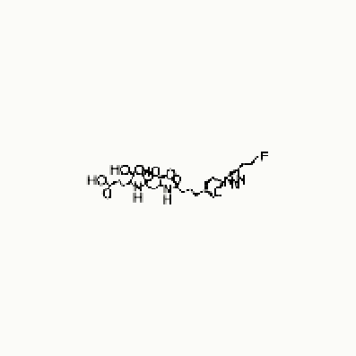 O=C(O)CCC(NC(=O)CC(NC(=O)CCCc1ccc(-n2cc(CCCF)nn2)cc1)C(=O)O)C(=O)O